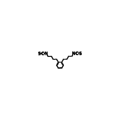 S=C=NCCCCc1ccccc1CCCCN=C=S